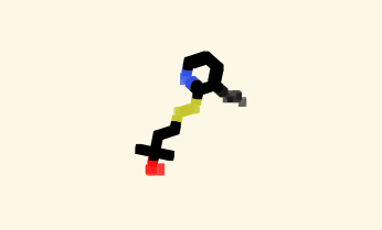 CC(C)(O)CCSSc1ncccc1[N+](=O)[O-]